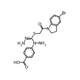 N/N=C(/SCC(=O)N1CCc2cc(Br)ccc21)N(N)c1ccc(C(=O)O)cc1